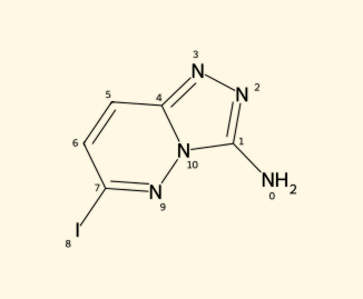 Nc1nnc2ccc(I)nn12